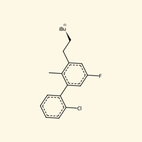 CC[C@H](C)CCc1cc(F)cc(-c2ccccc2Cl)c1C